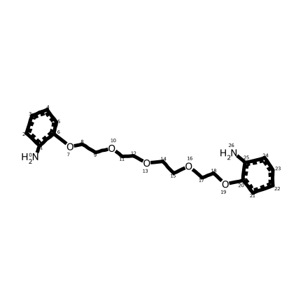 Nc1ccccc1OCCOCCOCCOCCOc1ccccc1N